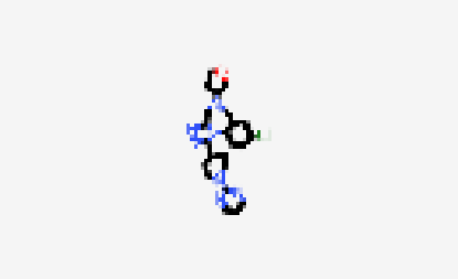 Clc1ccc2c(c1)CN([C@@H]1CCOC1)Cc1nnc(C3CCN(c4ncccn4)CC3)n1-2